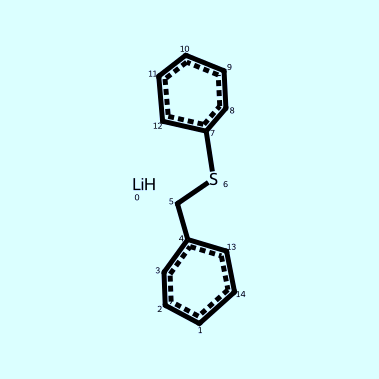 [LiH].c1ccc(CSc2ccccc2)cc1